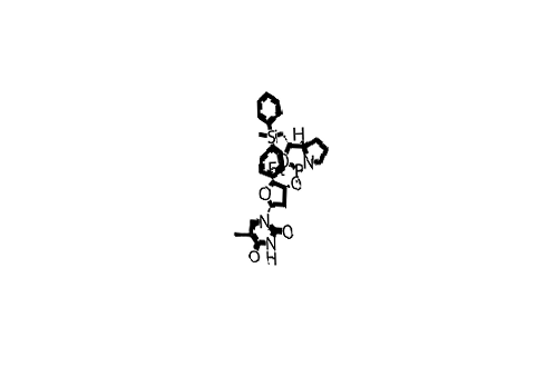 CC[C@H]1O[C@@H](n2cc(C)c(=O)[nH]c2=O)C[C@H]1O[P@]1O[C@H](C[Si](C)(c2ccccc2)c2ccccc2)[C@@H]2CCCN21